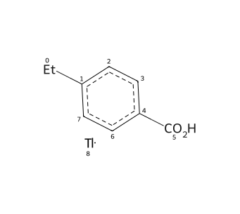 CCc1ccc(C(=O)O)cc1.[Tl]